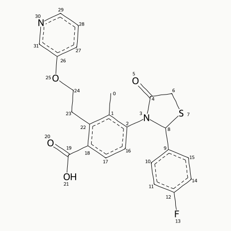 Cc1c(N2C(=O)CSC2c2ccc(F)cc2)ccc(C(=O)O)c1CCOc1cccnc1